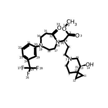 COC(=O)[C@@H](CCN1CCC2(CC2)[C@H](O)C1)N1CCN(c2cccc(C(F)(F)F)c2)CCC1=O